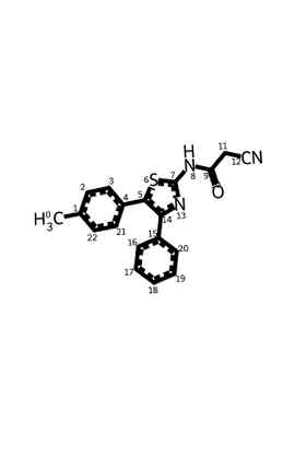 Cc1ccc(-c2sc(NC(=O)CC#N)nc2-c2ccccc2)cc1